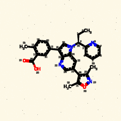 CC[C@@H](c1ccccn1)n1cc(-c2ccc(C)c(C(=O)O)c2)c2ncc(-c3c(C)noc3C)cc21